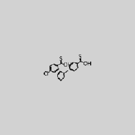 Cc1ccccc1.OC(=S)c1ccc(Cl)cc1.OC(=S)c1ccccc1